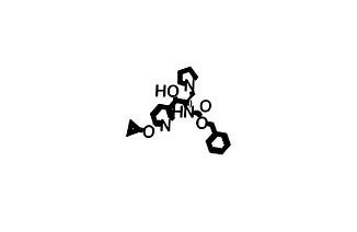 O=C(N[C@H](CN1CCCC1)C(O)c1ccc(OC2CC2)nc1)OCc1ccccc1